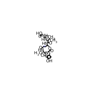 CC(C)[C@@H]1NC(=O)/C=C/[C@@H](NC(=O)[C@@H](NC(=O)CNC(=O)O)C(C)C)COC(=O)[C@H](Cc2ccc(O)cc2)NC1=O